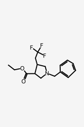 CCOC(=O)C1CN(Cc2ccccc2)CC1CC(F)(F)F